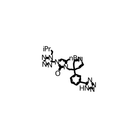 CCCCc1cn(-c2nnnn2CC(C)C)c(=O)n1CC1(c2cccc(-c3nnn[nH]3)c2)C=CN=CC1